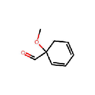 COC1(C=O)[CH]C=CC=C1